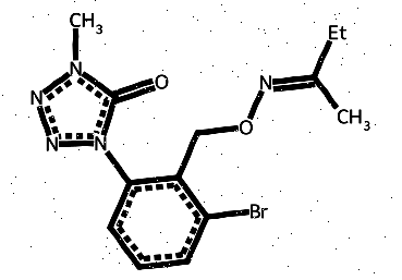 CCC(C)=NOCc1c(Br)cccc1-n1nnn(C)c1=O